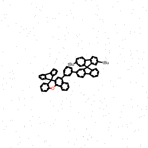 CC(C)(C)c1ccc2c(c1)C1(c3ccccc3-c3ccc(-c4cccc(-c5cc6c(c7ccccc57)Oc5ccccc5C65c6ccccc6-c6ccccc65)c4)cc31)c1cc(C(C)(C)C)ccc1-2